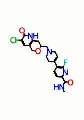 CNC(=O)c1ccc(C2=CCN(CC3Cc4[nH]c(=O)c(Cl)cc4CO3)CC2)c(F)n1